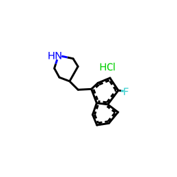 Cl.Fc1ccc(CC2CCNCC2)c2ccccc12